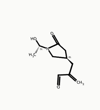 C=C(C=O)C[C@@H]1CC(=O)N([C@H](C)O)C1